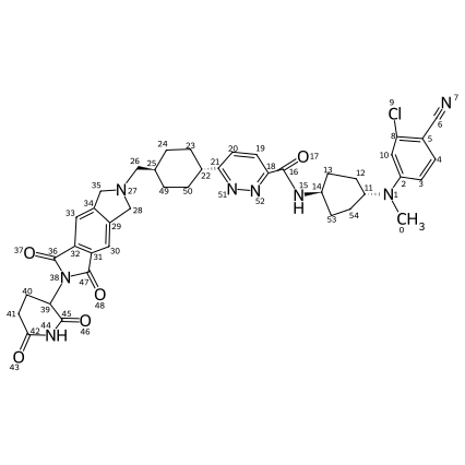 CN(c1ccc(C#N)c(Cl)c1)[C@H]1CC[C@H](NC(=O)c2ccc([C@H]3CC[C@H](CN4Cc5cc6c(cc5C4)C(=O)N(C4CCC(=O)NC4=O)C6=O)CC3)nn2)CC1